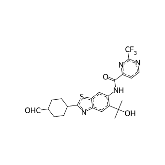 CC(C)(O)c1cc2nc(C3CCC(C=O)CC3)sc2cc1NC(=O)c1ccnc(C(F)(F)F)n1